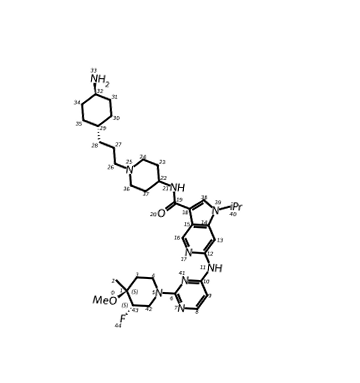 CO[C@@]1(C)CCN(c2nccc(Nc3cc4c(cn3)c(C(=O)NC3CCN(CCC[C@H]5CC[C@H](N)CC5)CC3)cn4C(C)C)n2)C[C@@H]1F